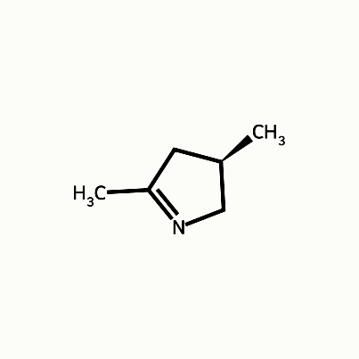 CC1=NC[C@H](C)C1